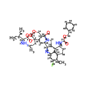 CCC1(OC(=O)[C@@H](N)C(C)C)C(=O)OCc2c1cc1n(c2=O)Cc2c-1nc1cc(F)c(C)c3c1c2C(NC(=O)OCc1ccccc1)CC3